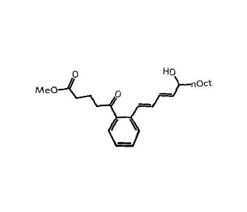 CCCCCCCCC(O)/C=C/C=C/c1ccccc1C(=O)CCCC(=O)OC